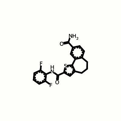 NC(=O)c1ccc2c(c1)-c1sc(C(=O)Nc3c(F)cccc3F)cc1CCC2